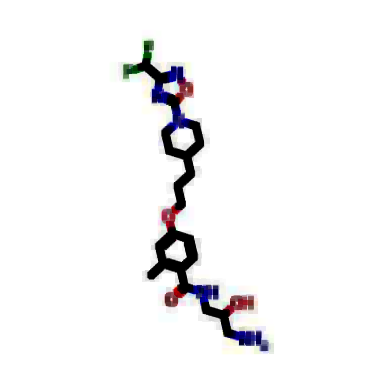 Cc1cc(OCCCC2CCN(c3nc(C(F)F)no3)CC2)ccc1C(=O)NCC(O)CN